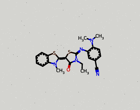 CCN1C(=O)/C(=C2/Sc3ccccc3N2C)S/C1=N/c1cc(C#N)ccc1N(C)C